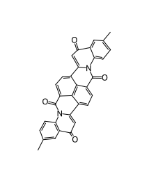 Cc1ccc2c(c1)c(=O)cc1c3ccc4c(=O)n5c6ccc(C)cc6c(=O)cc5c5ccc(c(=O)n21)c3c45